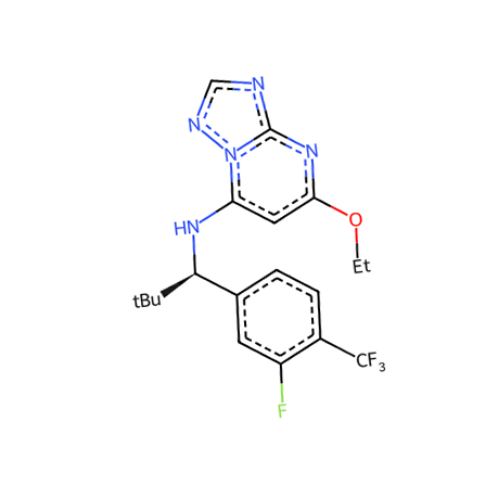 CCOc1cc(N[C@@H](c2ccc(C(F)(F)F)c(F)c2)C(C)(C)C)n2ncnc2n1